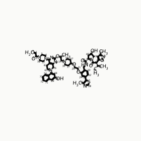 C=CC(=O)N1CCN(c2nc(O[C@H](C)CN3CCC(OCCOc4cc(-c5scnc5C)ccc4CNC(=O)[C@@H]4C[C@@H](O)CN4C(=O)[C@@H](c4cc(C)no4)C(C)C)CC3)nc3c2CCN(c2cc(O)cc4ccccc24)C3)CC1